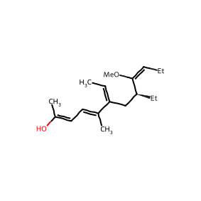 C\C=C(C[C@H](CC)/C(=C\CC)OC)/C(C)=C/C=C(\C)O